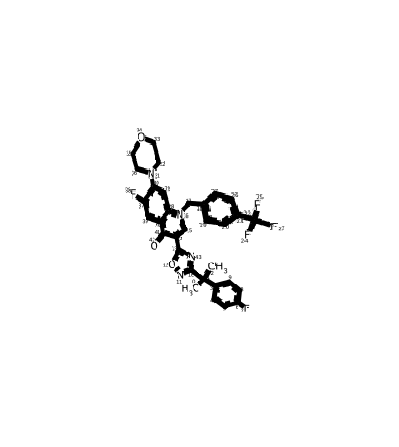 CC(C)(c1ccc(F)cc1)c1noc(-c2cn(Cc3ccc(C(F)(F)F)cc3)c3cc(N4CCOCC4)c(F)cc3c2=O)n1